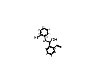 C=Cc1ccccc1C(O)Cc1ccccc1CC